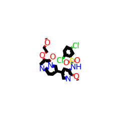 COCCOc1cnc2ccc(-c3cnc(OC)c(NS(=O)(=O)c4cc(Cl)ccc4Cl)c3)cn2c1=O